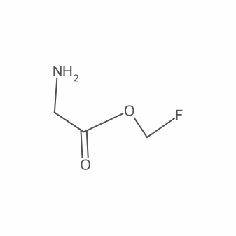 NCC(=O)OCF